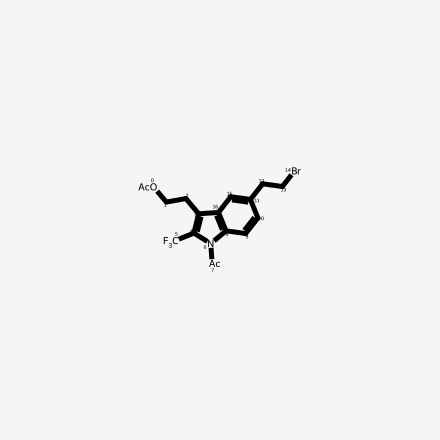 CC(=O)OCCc1c(C(F)(F)F)n(C(C)=O)c2ccc(CCBr)cc12